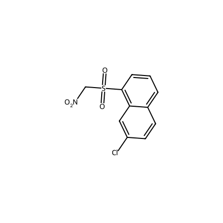 O=[N+]([O-])CS(=O)(=O)c1cccc2ccc(Cl)cc12